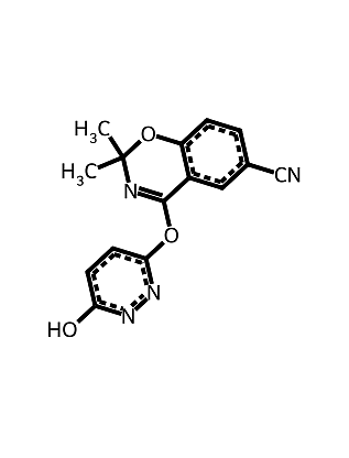 CC1(C)N=C(Oc2ccc(O)nn2)c2cc(C#N)ccc2O1